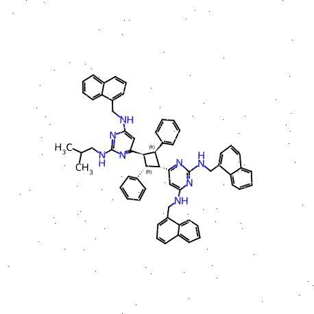 CC(C)CNc1nc(NCc2cccc3ccccc23)cc([C@H]2[C@@H](c3ccccc3)[C@H](c3cc(NCc4cccc5ccccc45)nc(NCc4cccc5ccccc45)n3)[C@@H]2c2ccccc2)n1